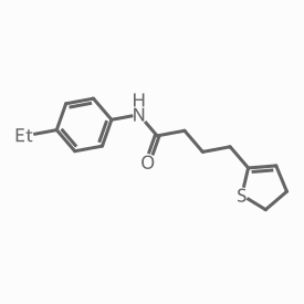 CCc1ccc(NC(=O)CCCC2=CCCS2)cc1